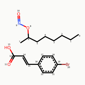 CCCCCCC(C)ON=O.O=C(O)C=Cc1ccc(Br)cc1